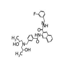 CC(O)CN(Cc1cccc(C(=O)Nc2cc3ccccc3cc2C(=O)N/N=C/c2cccc(F)c2)c1)CC(C)O